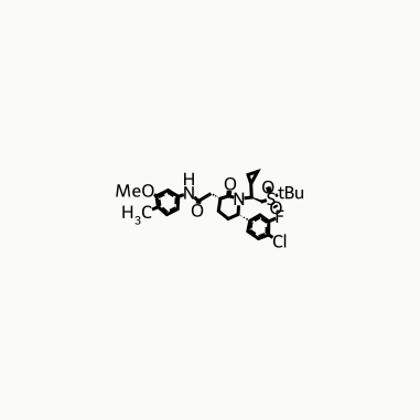 COc1cc(NC(=O)C[C@H]2CC[C@@H](c3ccc(Cl)c(F)c3)N([C@H](CS(=O)(=O)C(C)(C)C)C3CC3)C2=O)ccc1C